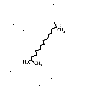 C=C(C)CCCCCCCCCCCC(C)C